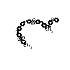 Cc1ccc(S(=O)(=O)c2ccc(Oc3ccc(-c4ccc(Oc5ccc(S(=O)(=O)c6ccc(Cc7ccc(C)c(C(=O)c8ccc(Oc9ccccc9)cc8)c7)cc6)cc5)cc4)cc3)cc2)cc1